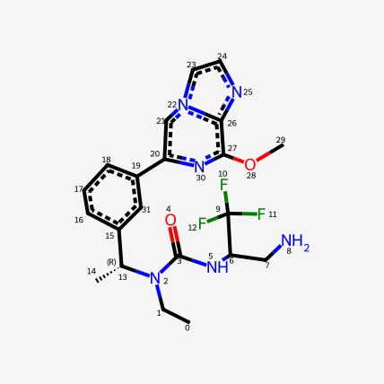 CCN(C(=O)NC(CN)C(F)(F)F)[C@H](C)c1cccc(-c2cn3ccnc3c(OC)n2)c1